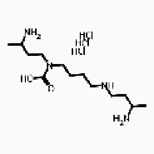 CC(N)CCNCCCCN(CCC(C)N)C(=O)O.Cl.Cl.Cl